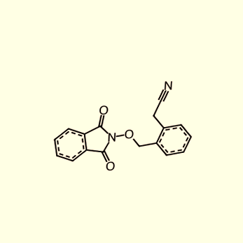 N#CCc1ccccc1CON1C(=O)c2ccccc2C1=O